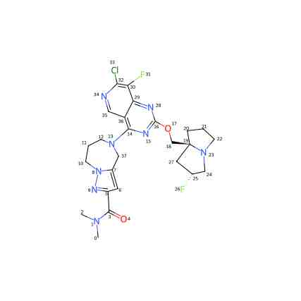 CN(C)C(=O)c1cc2n(n1)CCCN(c1nc(OC[C@@]34CCCN3C[C@H](F)C4)nc3c(F)c(Cl)ncc13)C2